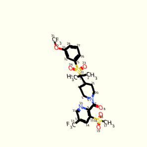 CC(C)(C1CCN(C(=O)c2ncc(C(F)(F)F)cc2S(C)(=O)=O)CC1)S(=O)(=O)c1cccc(OC(F)(F)F)c1